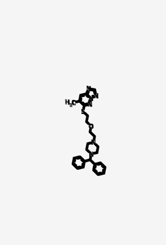 Cc1cc2ncnn2nc1SCCOCCN1CCN(C(c2ccccc2)c2ccccc2)CC1